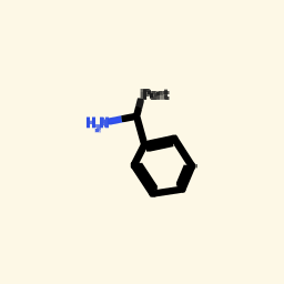 CCCC(C)C(N)c1c[c]ccc1